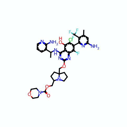 Cc1cc(N)nc(-c2c(Cl)c(O)c3c(NC(C)c4cccnc4N)nc(OCC45CCCN4C(COC(=O)N4CCOCC4)CC5)nc3c2F)c1C(F)(F)F